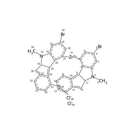 CN1c2cc(Br)c[c]3c2C2=c4cccc(c4=CC21)Sc1cccc2c1=C1c4[c](cc(Br)cc4N(C)C1C=2)[Zr+2]3.[Cl-].[Cl-]